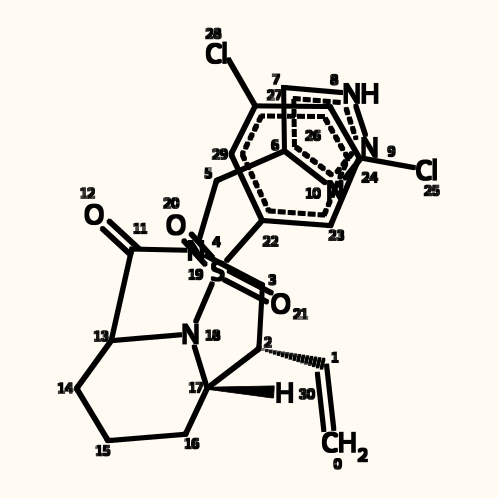 C=C[C@H]1CN(Cc2c[nH]nn2)C(=O)C2CCC[C@@H]1N2S(=O)(=O)c1cc(Cl)cc(Cl)c1